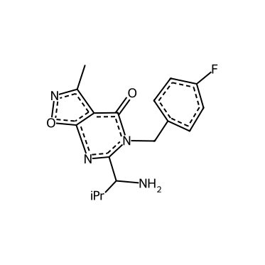 Cc1noc2nc(C(N)C(C)C)n(Cc3ccc(F)cc3)c(=O)c12